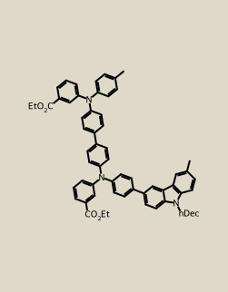 CCCCCCCCCCn1c2ccc(C)cc2c2cc(-c3ccc(N(c4ccc(-c5ccc(N(c6ccc(C)cc6)c6cccc(C(=O)OCC)c6)cc5)cc4)c4cccc(C(=O)OCC)c4)cc3)ccc21